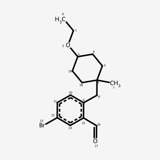 CCOC1CCC(C)(Cc2ccc(Br)cc2C=O)CC1